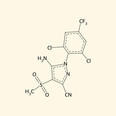 CS(=O)(=O)c1c(C#N)nn(-c2c(Cl)cc(C(F)(F)F)cc2Cl)c1N